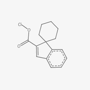 O=C(OCl)C1=Cc2ccccc2C12CCCCC2